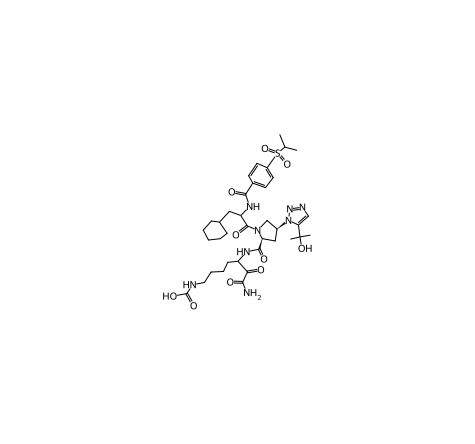 CC(C)S(=O)(=O)c1ccc(C(=O)NC(CC2CCCCC2)C(=O)N2C[C@@H](n3nncc3C(C)(C)O)C[C@H]2C(=O)NC(CCCCNC(=O)O)C(=O)C(N)=O)cc1